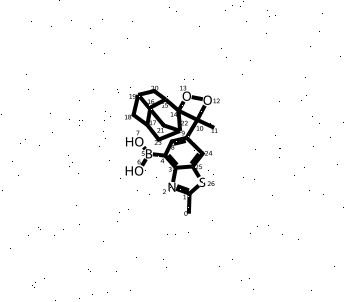 Cc1nc2c(B(O)O)cc(C3(C)OOC34C3CC5CC(C3)CC4C5)cc2s1